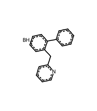 B.c1ccc(-c2ccccc2Cc2ccccn2)cc1